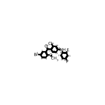 COc1ccc(Br)cc1C(=O)c1ccc(Nc2ccc(F)cc2F)cc1Cl